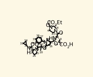 CCOC(=O)ON1CCN(C(=O)[C@H](CCC(=O)O)NC(=O)c2cc(OC(C)(C)C(=O)N3CCC[C@@H]3C(=O)NC3CC3)n(-c3ccccc3)n2)CC1